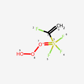 C=C(F)S(F)(F)(F)=[O+]OO